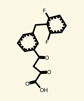 O=C(O)C(=O)CC(=O)c1cccc(Cc2c(F)cccc2F)c1